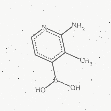 Cc1c(B(O)O)ccnc1N